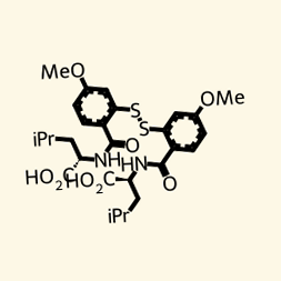 COc1ccc(C(=O)N[C@@H](CC(C)C)C(=O)O)c(SSc2cc(OC)ccc2C(=O)N[C@@H](CC(C)C)C(=O)O)c1